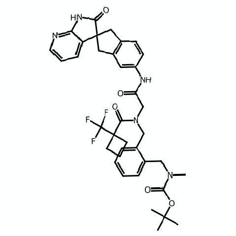 CN(Cc1ccccc1CN(CC(=O)Nc1ccc2c(c1)CC1(C2)C(=O)Nc2ncccc21)C(=O)C1(C(F)(F)F)CCC1)C(=O)OC(C)(C)C